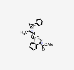 CO/N=C(/C(=O)OC)c1ccccc1CO/N=C(\C)[C@@H]1C[C@H]1c1ccccc1